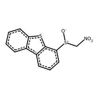 O=[N+]([O-])C[S+]([O-])c1cccc2c1sc1ccccc12